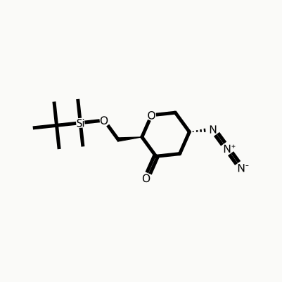 CC(C)(C)[Si](C)(C)OC[C@H]1OC[C@H](N=[N+]=[N-])CC1=O